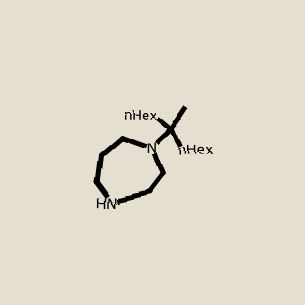 CCCCCCC(C)(CCCCCC)N1CCCNCC1